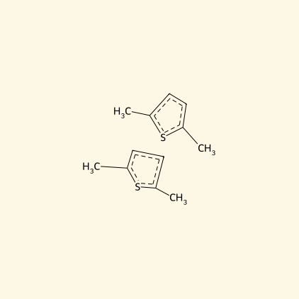 Cc1ccc(C)s1.Cc1ccc(C)s1